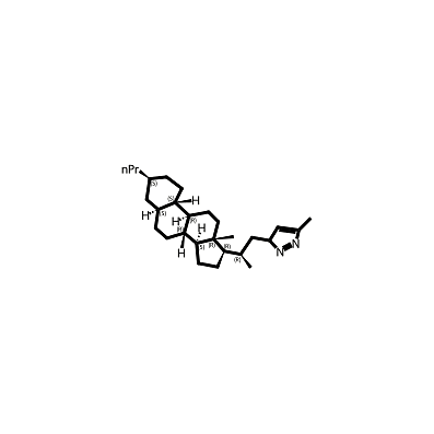 CCC[C@H]1CC[C@H]2[C@@H](CC[C@@H]3[C@@H]2CC[C@]2(C)[C@@H]([C@H](C)CC4C=C(C)N=N4)CC[C@@H]32)C1